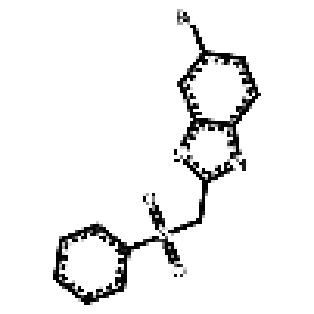 O=S(=O)(Cc1nc2ccc(Br)cc2s1)c1ccccc1